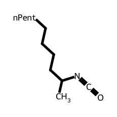 CCCCCCCCCC(C)N=C=O